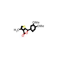 COc1ccc(C2OC(=O)c3c(C)csc32)cc1OC